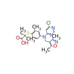 Cc1cc(N(Cc2c(C)noc2C)c2cc(Cl)ncn2)ccc1SC(C)(C)C(=O)O